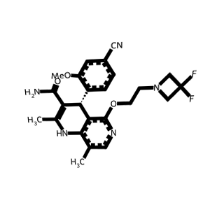 COc1cc(C#N)ccc1[C@H]1C(C(N)=O)=C(C)Nc2c(C)cnc(OCCN3CC(F)(F)C3)c21